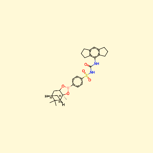 CC1(C)[C@@H]2CC3OB(c4ccc(S(=O)(=O)NC(=O)Nc5c6c(cc7c5CCC7)CCC6)cc4)O[C@@]3(C)[C@H]1C2